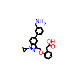 NCc1cccc(-c2ccc3c(c2)c(COc2ccccc2CC(=O)O)nn3C2CC2)c1